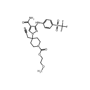 COCCOC(=O)N1CCC(CC#N)(n2cc(C(N)=O)c(Nc3ccc(S(=O)(=O)C(F)(F)F)cc3)n2)CC1